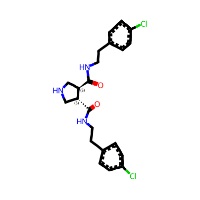 O=C(NCCc1ccc(Cl)cc1)[C@@H]1CNC[C@H]1C(=O)NCCc1ccc(Cl)cc1